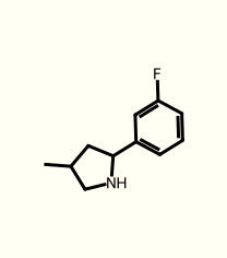 CC1CNC(c2cccc(F)c2)C1